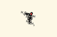 Cc1cc(CN2C(=O)C(C3=NS(=O)(=O)C4=C(N3)SCC4CNS(C)(=O)=O)=C(O)C3C4CCC(CC4)C32)ccc1F